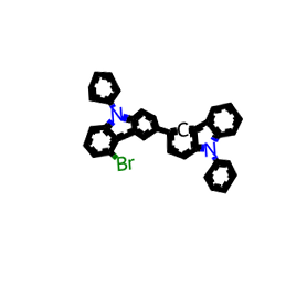 Brc1cccc2c1c1cc(-c3ccc4c(c3)c3ccccc3n4-c3ccccc3)ccc1n2-c1ccccc1